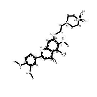 COc1ccc(-c2cc(=O)c3c(O)c(OC)c(OCCN4CCS(=O)(=O)CC4)cc3o2)cc1OC